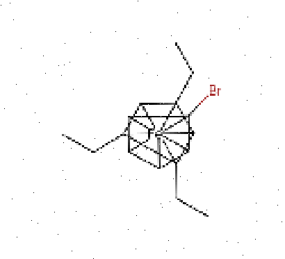 CC[C]12[CH]3[C]4(CC)[C]5(CC)[CH]1[Fe]32451678[CH]2[CH]1[CH]6[C]7(Br)[CH]28